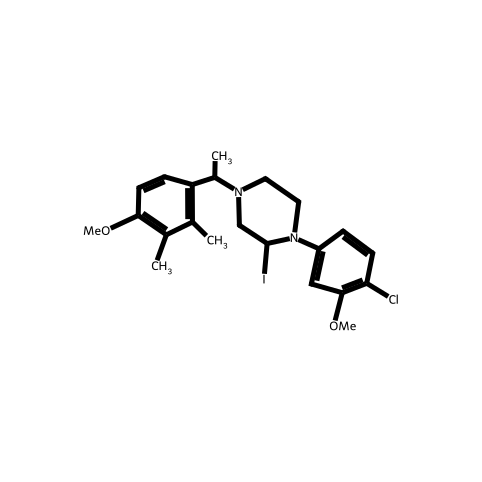 COc1cc(N2CCN(C(C)c3ccc(OC)c(C)c3C)CC2I)ccc1Cl